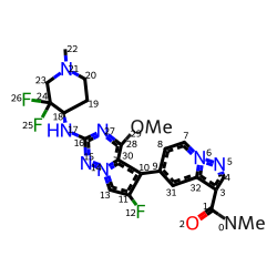 CNC(=O)c1cnn2ccc(-c3c(F)cn4nc(N[C@@H]5CCN(C)CC5(F)F)nc(OC)c34)cc12